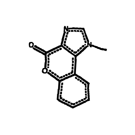 Cn1cnc2c(=O)oc3ccccc3c21